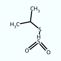 CC(C)S[SH](=O)=O